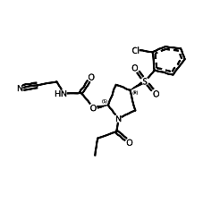 CCC(=O)N1C[C@H](S(=O)(=O)c2ccccc2Cl)C[C@@H]1OC(=O)NCC#N